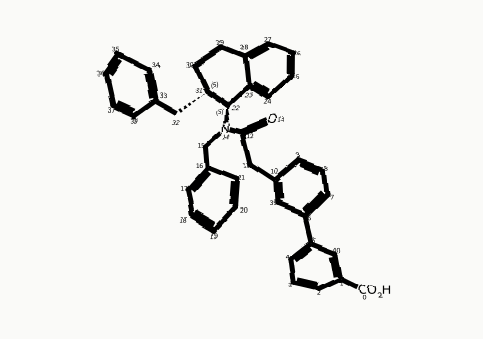 O=C(O)c1cccc(-c2cccc(CC(=O)N(Cc3ccccc3)[C@@H]3c4ccccc4CC[C@H]3Cc3ccccc3)c2)c1